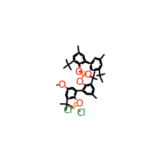 COc1cc(-c2cc(C)cc(C(C)(C)C)c2Op2oc3c(C(C)(C)C)cc(C)cc3c3cc(C)cc(C(C)(C)C)c3o2)c(OP(Cl)Cl)c(C(C)(C)C)c1